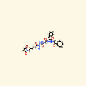 O=C(CCCCCN1C(=O)C=CC1=O)NCC(=O)NCC(=O)N[C@@H](Cc1ccccc1)C(=O)NCC(=O)C1CCCCCCC1